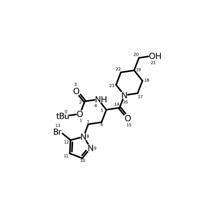 CC(C)(C)OC(=O)NC(CCn1nccc1Br)C(=O)N1CCC(CO)CC1